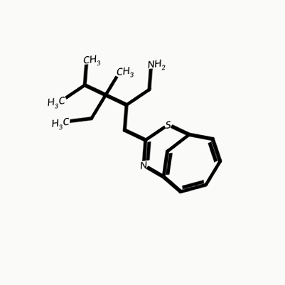 CCC(C)(C(C)C)C(CN)CC1=NC2=CC(C=CC=C2)S1